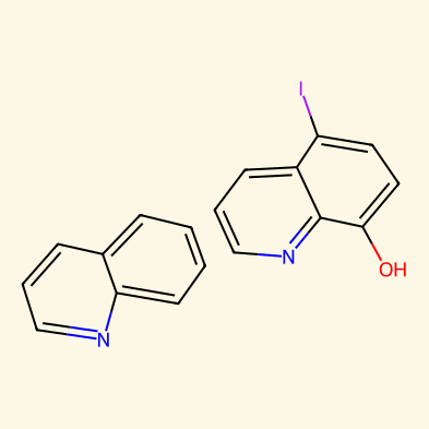 Oc1ccc(I)c2cccnc12.c1ccc2ncccc2c1